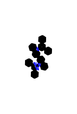 c1ccc(-c2cc(-c3ccccc3)cc(-n3c4ccccc4c4ccc(-c5ccc6c7ccccc7n(-c7nc(-c8ccccc8)cc(-c8ccccc8)n7)c6c5)cc43)c2)cc1